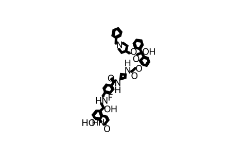 O=C(COc1cccc([C@](O)(C(=O)OCC2CCN(Cc3ccccc3)CC2)c2ccccc2)c1)N[C@H]1C[C@H](NC(=O)c2ccc(CNC[C@H](O)c3ccc(O)c4[nH]c(=O)ccc34)c(F)c2)C1